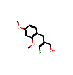 COc1ccc(CC(=CF)CO)c(OC)c1